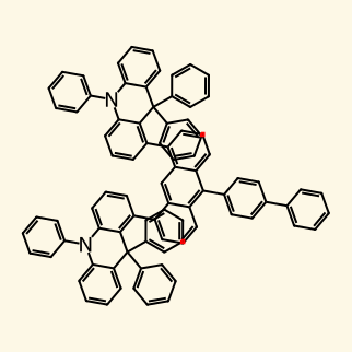 c1ccc(-c2ccc(-c3c4cccc(-c5cccc6c5C(c5ccccc5)(c5ccccc5)c5ccccc5N6c5ccccc5)c4cc4c(-c5cccc6c5C(c5ccccc5)(c5ccccc5)c5ccccc5N6c5ccccc5)cccc34)cc2)cc1